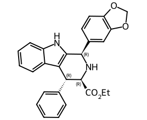 CCOC(=O)[C@@H]1N[C@H](c2ccc3c(c2)OCO3)c2[nH]c3ccccc3c2[C@H]1c1ccccc1